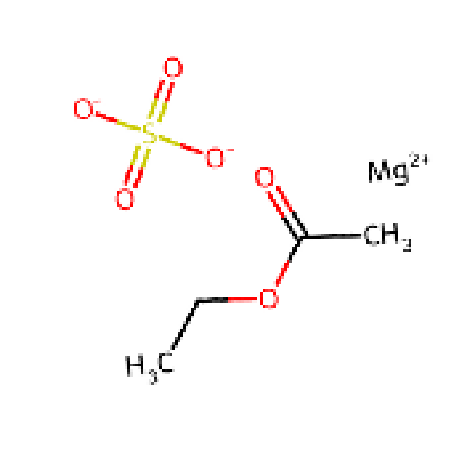 CCOC(C)=O.O=S(=O)([O-])[O-].[Mg+2]